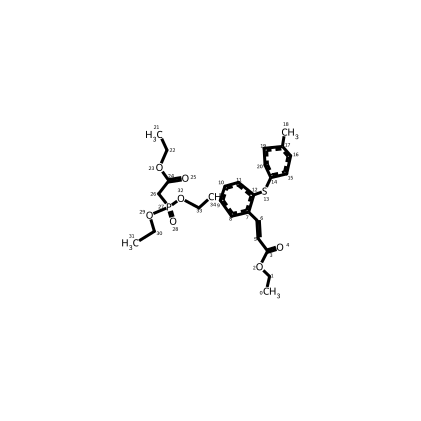 CCOC(=O)C=Cc1ccccc1Sc1ccc(C)cc1.CCOC(=O)CP(=O)(OCC)OCC